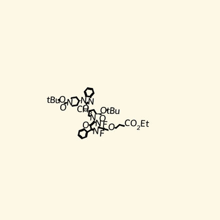 CCOC(=O)CCCOCC(F)(F)c1nc(N2C[C@@H](Oc3nc4ccccc4n3[C@H]3CCN(C(=O)OC(C)(C)C)C[C@@H]3C)C[C@H]2C(=O)OC(C)(C)C)c2oc3ccccc3c2n1